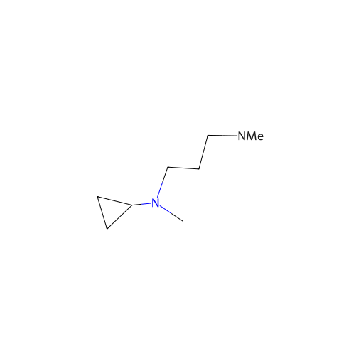 CNCCCN(C)C1CC1